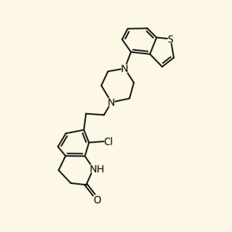 O=C1CCc2ccc(CCN3CCN(c4cccc5sccc45)CC3)c(Cl)c2N1